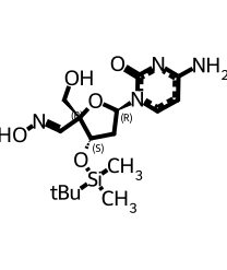 CC(C)(C)[Si](C)(C)O[C@H]1C[C@H](n2ccc(N)nc2=O)O[C@]1(C=NO)CO